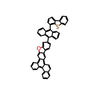 c1ccc2c(c1)ccc1c3cc4c(cc3c3ccccc3c21)oc1cc(-c2c3ccccc3c(-c3cccc5c3sc3ccccc35)c3ccccc23)ccc14